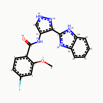 COc1cc(F)ccc1C(=O)Nc1c[nH]nc1-c1nc2ccccc2[nH]1